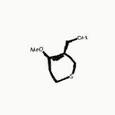 COC1=C(CO)CSCC1